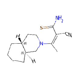 CC(=C(C#N)C(N)=S)N1CC[C@H]2CCCC[C@@H]2C1